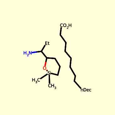 CCC(N)C1CCC[Si](C)(C)O1.CCCCCCCCCCCCCCCCCC(=O)O